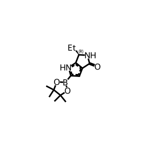 CC[C@H]1NC(=O)c2cc(B3OC(C)(C)C(C)(C)O3)[nH]c21